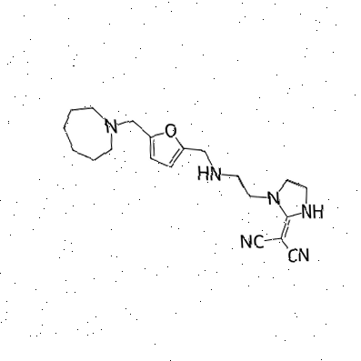 N#CC(C#N)=C1NCCN1CCNCc1ccc(CN2CCCCCC2)o1